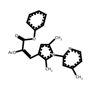 CC(=O)OC(=Cc1cc(C)n(-c2cc(C)ccn2)c1C)C(=O)Oc1ccccc1